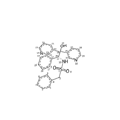 O=S(=O)(Cc1ccccc1)N[C@H](c1ccccc1)C(O)(c1cccnc1)c1cccnc1